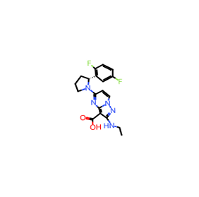 CCNc1nn2ccc(N3CCC[C@@H]3c3cc(F)ccc3F)nc2c1C(=O)O